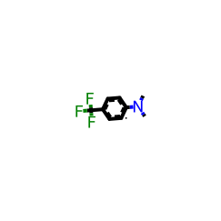 CN(C)c1[c]cc(C(F)(F)F)cc1